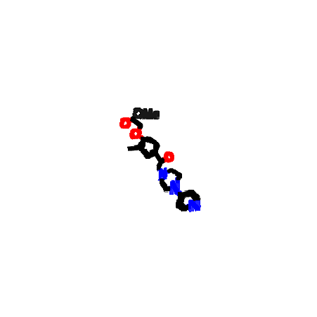 COC(=O)COc1ccc(C(=O)CN2CCN(c3ccncc3)CC2)cc1C